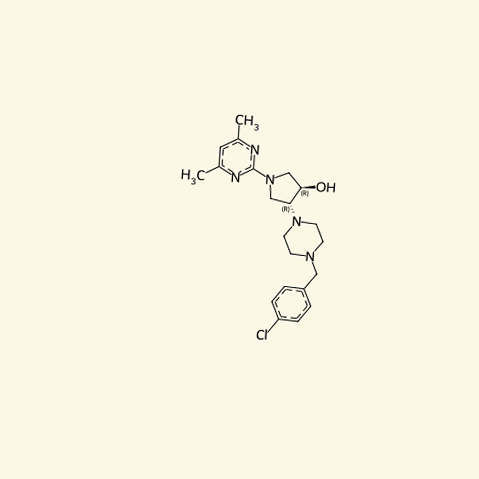 Cc1cc(C)nc(N2C[C@@H](O)[C@H](N3CCN(Cc4ccc(Cl)cc4)CC3)C2)n1